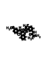 COc1ccc(Cl)c(Nc2nc3ccccc3nc2NS(=O)(=O)c2cc(NC(=O)C(C)N)ccc2C)c1